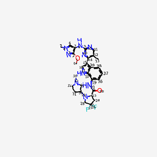 COc1nn(C)cc1Nc1ncc(C)c(-c2c[nH]c3c(NC(=O)[C@H]4CC(F)(F)CN4[C@H]4CCN(C)C4)cccc23)n1